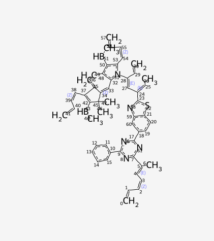 C=C/C=C\C=C(/C)c1nc(-c2ccccc2)nc(-c2ccc3sc(C(=C/C)/C=C(\C=C)n4c(/C=C5\C(=C)C(/C=C\C=C)=C(BC)C5(C)C)c(C)c(BC)c4/C=C\C=C)nc3c2)n1